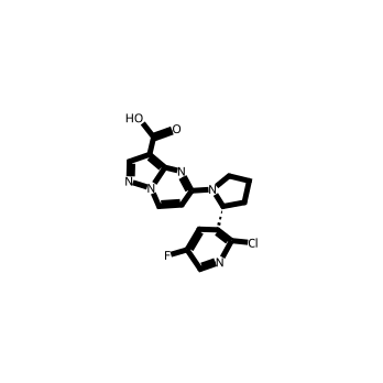 O=C(O)c1cnn2ccc(N3CCC[C@@H]3c3cc(F)cnc3Cl)nc12